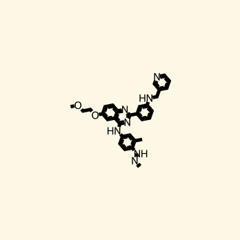 C=NNc1ccc(Nc2nc(-c3cccc(NCc4cccnc4)c3)nc3ccc(OCCOC)cc23)cc1C